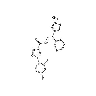 Cn1cc(C(CNC(=O)c2cc(-c3ccc(F)cc3F)on2)c2cnccn2)cn1